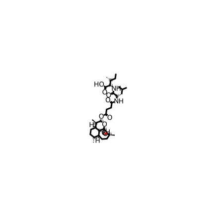 CC[C@@H](C)[C@H](NC(=O)[C@H](CC(C)C)NC(=O)CCC(=O)O[C@@H]1O[C@@H]2O[C@@]3(C)CC[C@H]4[C@H](C)CC[C@@H]([C@H]1C)[C@@]24OO3)C(=O)O